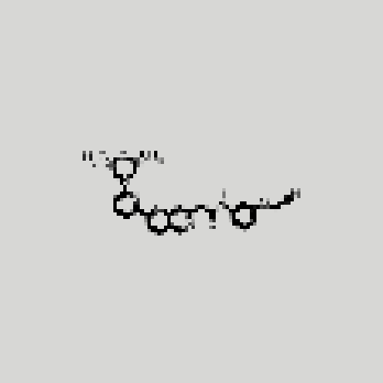 C[C@@H]1CN(c2cccc(-c3ccc4cnc(CC(=O)Nc5cccc(OCC#N)c5)cc4n3)n2)C[C@H](C)O1